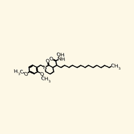 CCCCCCCCCCCCCCC(C(=O)NO)C1CCCN(Cc2ccc(OC)cc2OC)C1=O